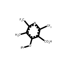 Cc1c(C(F)(F)F)nc(C(F)(F)F)c(C(=O)O)c1OC(C)C